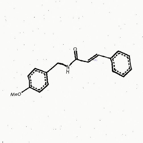 COc1ccc(CNC(=O)/C=C/c2ccccc2)cc1